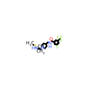 CCSNC(C)(C)CN1CCC(CNC(=O)c2cc(F)cc(C(F)(F)F)c2)CC1